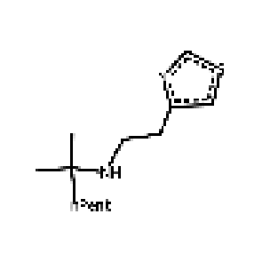 CCCCCC(C)(C)NCCc1cscn1